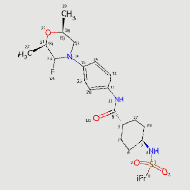 CC(C)S(=O)(=O)N[C@H]1CC[C@H](C(=O)Nc2ccc(N3C[C@H](C)O[C@H](C)C3F)cc2)CC1